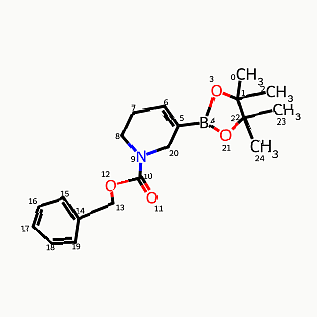 CC1(C)OB(C2=CCCN(C(=O)OCc3ccccc3)C2)OC1(C)C